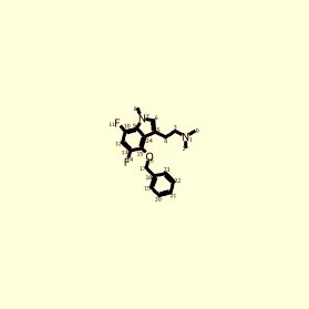 CN(C)CCc1cn(C)c2c(F)cc(F)c(OCc3ccccc3)c12